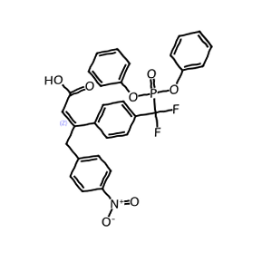 O=C(O)/C=C(/Cc1ccc([N+](=O)[O-])cc1)c1ccc(C(F)(F)P(=O)(Oc2ccccc2)Oc2ccccc2)cc1